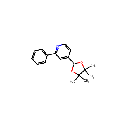 CC1(C)OB(c2ccnc(-c3ccccc3)c2)OC1(C)C